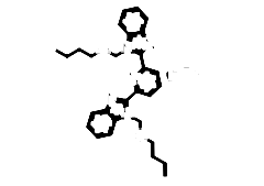 CCCCOCn1c(-c2cccc(-c3nc4ccccc4n3COCCCC)n2)nc2ccccc21.[Cl-].[Cl-].[Fe+2]